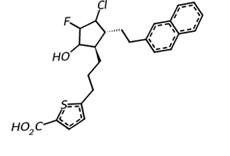 O=C(O)c1ccc(CCC[C@H]2C(O)C(F)C(Cl)[C@@H]2CCc2ccc3ccccc3c2)s1